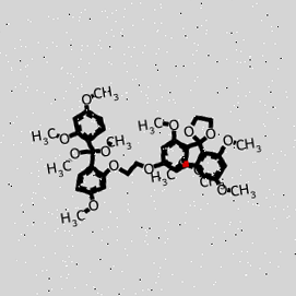 COc1ccc(C(OC)(OC)c2ccc(OC)cc2OCCOc2cc(OC)c(C3(c4c(OC)cc(OC)cc4OC)OCCO3)c(OC)c2)c(OC)c1